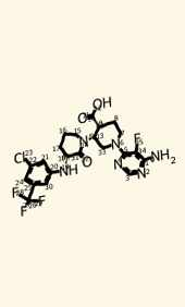 Nc1ncnc(N2CC[C@H](C(=O)O)[C@@H](N3CCC[C@@H](Nc4cc(Cl)cc(C(F)(F)F)c4)C3=O)C2)c1F